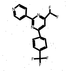 FC(F)c1cc(-c2ccc(C(F)(F)F)cc2)nc(-c2ccncc2)n1